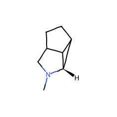 CN1CC2CCC3C2[C@H]31